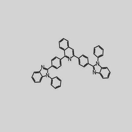 c1ccc(-n2c(-c3ccc(-c4cc5ccccc5c(-c5ccc(-c6nc7ccccc7n6-c6ccccc6)cc5)n4)cc3)nc3ccccc32)cc1